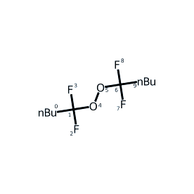 CCCCC(F)(F)OOC(F)(F)CCCC